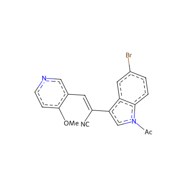 COc1ccncc1C=C(C#N)c1cn(C(C)=O)c2ccc(Br)cc12